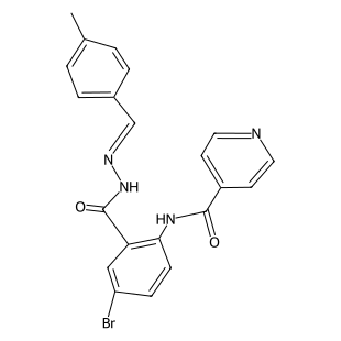 Cc1ccc(/C=N/NC(=O)c2cc(Br)ccc2NC(=O)c2ccncc2)cc1